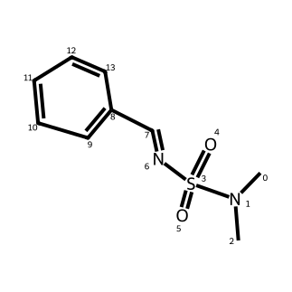 CN(C)S(=O)(=O)N=Cc1ccccc1